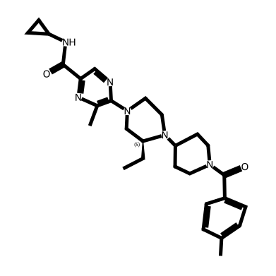 CC[C@H]1CN(c2ncc(C(=O)NC3CC3)nc2C)CCN1C1CCN(C(=O)c2ccc(C)cc2)CC1